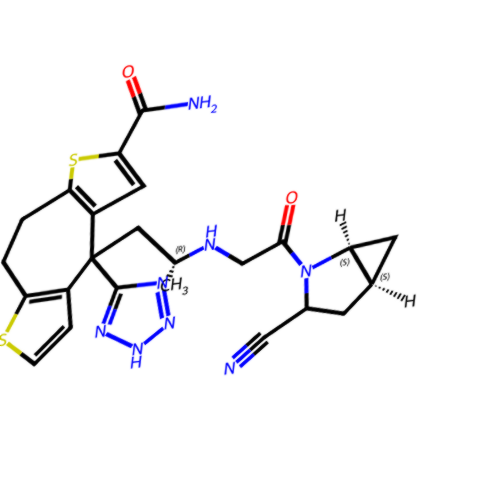 C[C@H](CC1(c2nn[nH]n2)c2ccsc2CCc2sc(C(N)=O)cc21)NCC(=O)N1C(C#N)C[C@@H]2C[C@@H]21